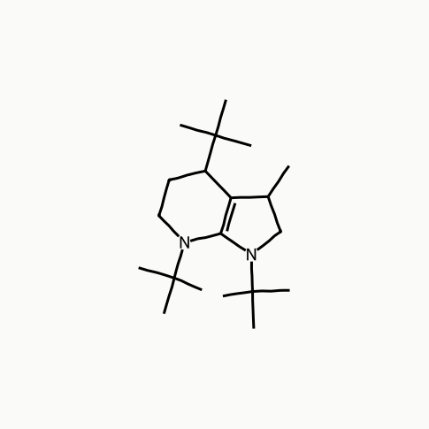 CC1CN(C(C)(C)C)C2=C1C(C(C)(C)C)CCN2C(C)(C)C